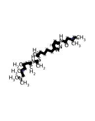 C=C(/C=C(\C)CN(C)C)CC(=C)NC(=C)SC(=C)CCCCc1ccc(NC(=O)C/C(C)=C/C)nn1